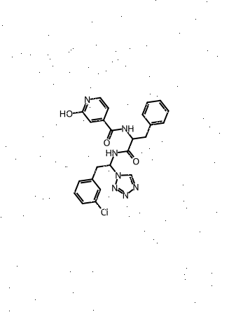 O=C(NC(Cc1ccccc1)C(=O)NC(Cc1cccc(Cl)c1)n1cnnn1)c1ccnc(O)c1